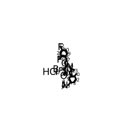 Cc1ccc(CN(C)C)cc1-n1c(C)nc(OCc2ccc(F)cc2F)c(Br)c1=O.Cl